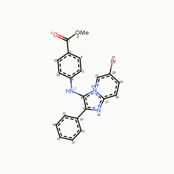 COC(=O)c1ccc(Nc2c(-c3ccccc3)nc3ccc(Br)cn23)cc1